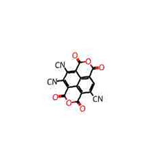 [C-]#[N+]c1c([N+]#[C-])c2c3c(c(C#N)cc4c3c1C(=O)OC4=O)C(=O)OC2=O